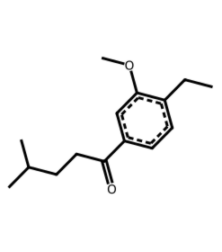 CCc1ccc(C(=O)CCC(C)C)cc1OC